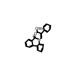 COC(=O)C(=Cn1c(=O)c2ccccc2c2ccccc21)c1ccccc1